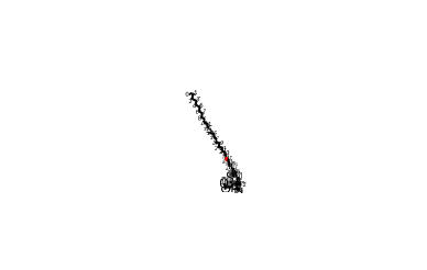 CCCCCCCCCCCCCSCCCCCCCCCCCCCSC(=S)SC(C)(C#N)CCC(=O)O